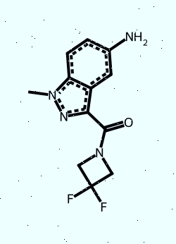 Cn1nc(C(=O)N2CC(F)(F)C2)c2cc(N)ccc21